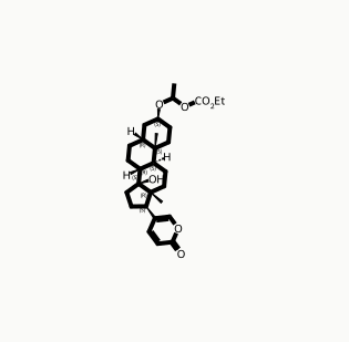 CCOC(=O)OC(C)O[C@H]1CC[C@@]2(C)[C@H](CC[C@@H]3[C@@H]2CC[C@]2(C)[C@@H](c4ccc(=O)oc4)CC[C@]32O)C1